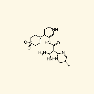 NC1NN2CC(F)C=NC2C1C(=O)NC1=CNCCC1N1CCS(=O)(=O)CC1